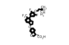 CC(C)(O)CCOc1c(F)cc(-c2c(C(F)(F)F)ccc3c2CC[C@H]3Oc2ccc3c(c2)OC[C@H]3CC(=O)O)cc1F